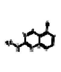 CNc1ncc2c(Br)cccc2n1